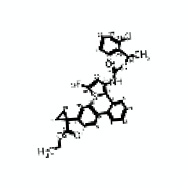 CCOC(=O)C1(c2ccc(-c3ccccc3-c3sc(F)cc3NC(=O)OC(C)c3ccccc3Cl)cc2)CC1